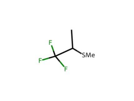 [CH2]SC(C)C(F)(F)F